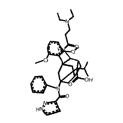 CCN(CC)CCC(=O)NC1C2CC3CC1(c1c(OC)cccc1OC)CC(N(C(=O)c1cc[nH]n1)c1ccccc1)(C3)C2(C(=O)O)C(C)C